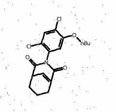 CCCCOc1cc(N2C(=O)C3=CC(CCC3)C2=O)c(Cl)cc1Cl